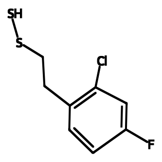 Fc1ccc(CCSS)c(Cl)c1